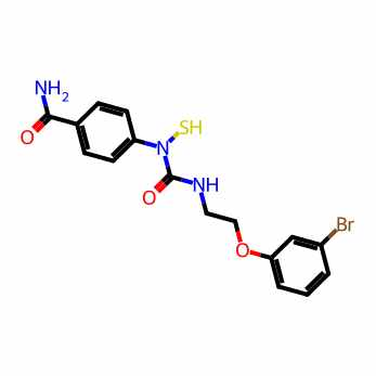 NC(=O)c1ccc(N(S)C(=O)NCCOc2cccc(Br)c2)cc1